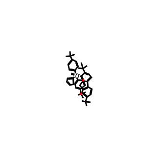 [CH2]=[Zr]([C]1=CC=CC1)([c]1ccc(C(C)(C)C)cc1)([c]1ccc(C(C)(C)C)cc1)[c]1c(C(C)(C)C)ccc2c1Cc1cc(C(C)(C)C)ccc1-2